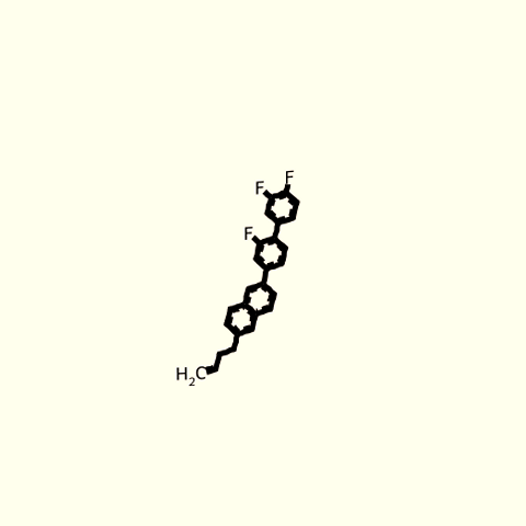 C=CCCc1ccc2cc(-c3ccc(-c4ccc(F)c(F)c4)c(F)c3)ccc2c1